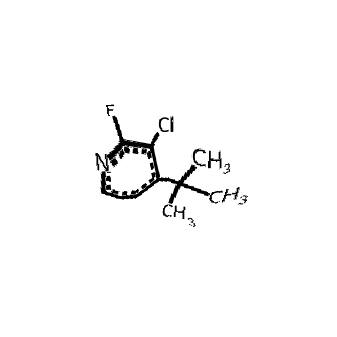 CC(C)(C)c1ccnc(F)c1Cl